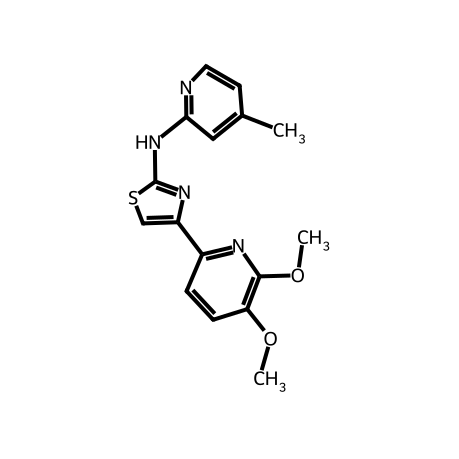 COc1ccc(-c2csc(Nc3cc(C)ccn3)n2)nc1OC